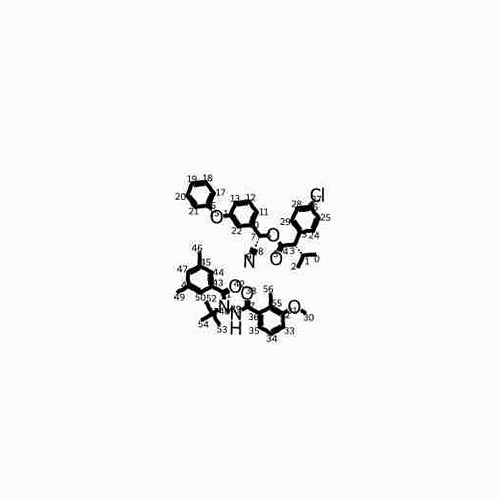 CC(C)[C@H](C(=O)O[C@H](C#N)c1cccc(Oc2ccccc2)c1)c1ccc(Cl)cc1.COc1cccc(C(=O)NN(C(=O)c2cc(C)cc(C)c2)C(C)(C)C)c1C